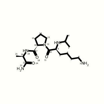 CC(C)N[C@@H](CCCCN)C(=O)N1CCC[C@H]1C(=O)N[C@H](C)C(N)=O